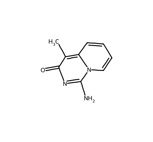 Cc1c(=O)nc(N)n2ccccc12